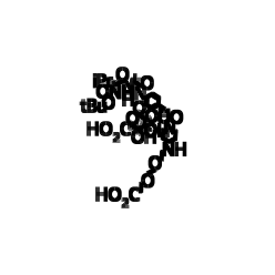 CC(C)[C@H](NC(=O)OC(C)(C)C)C(=O)N[C@@H](C)C(=O)Nc1ccc(COC(=O)N2CCC(NCCOCCOCCC(=O)O)CC2)cc1O[C@@H]1O[C@H](C(=O)O)[C@@H](O)[C@H](O)[C@H]1O